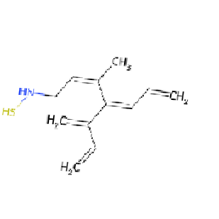 C=C/C=C(C(=C)C=C)\C(C)=C/CNS